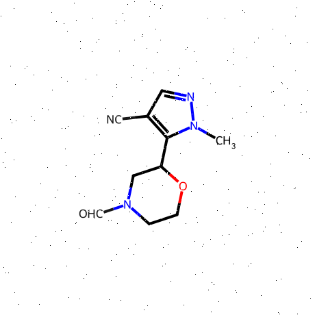 Cn1ncc(C#N)c1C1CN(C=O)CCO1